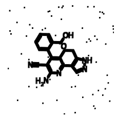 N#Cc1c(N)nc2c(c1-c1ccccc1C(=O)O)CCc1[nH]ncc1-2